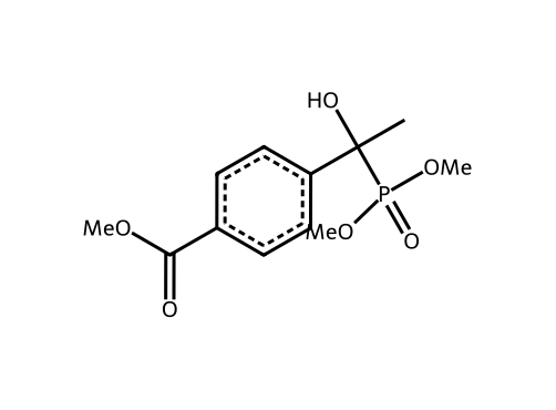 COC(=O)c1ccc(C(C)(O)P(=O)(OC)OC)cc1